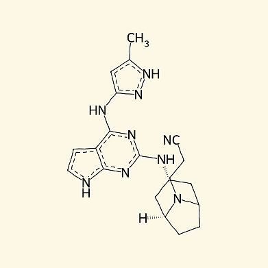 Cc1cc(Nc2nc(N[C@@H]3CC4CC[C@@H](C3)N4CCC#N)nc3[nH]ccc23)n[nH]1